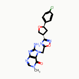 Cn1cnc2nc(N)n(Cc3nc([C@@H]4CO[C@@H](c5ccc(Cl)cc5)C4)no3)c2c1=O